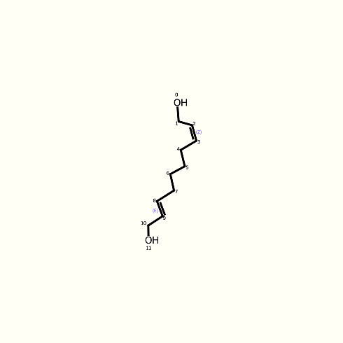 OC/C=C\CCCC/C=C/CO